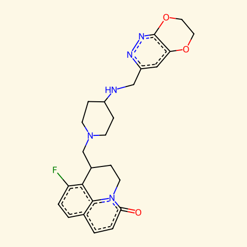 O=c1ccc2ccc(F)c3c2n1CCC3CN1CCC(NCc2cc3c(nn2)OCCO3)CC1